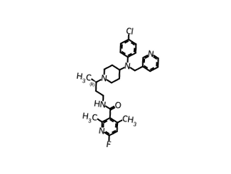 Cc1cc(F)nc(C)c1C(=O)NCC[C@@H](C)N1CCC(N(Cc2cccnc2)c2ccc(Cl)cc2)CC1